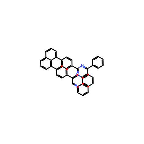 c1ccc(-c2cc(-c3ccccc3)nc(-c3ccc(-c4cccc5cccc(-c6ccc(-c7cnc8ccccc8c7)cc6)c45)cc3)n2)cc1